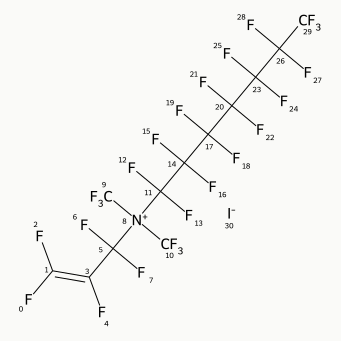 FC(F)=C(F)C(F)(F)[N+](C(F)(F)F)(C(F)(F)F)C(F)(F)C(F)(F)C(F)(F)C(F)(F)C(F)(F)C(F)(F)C(F)(F)F.[I-]